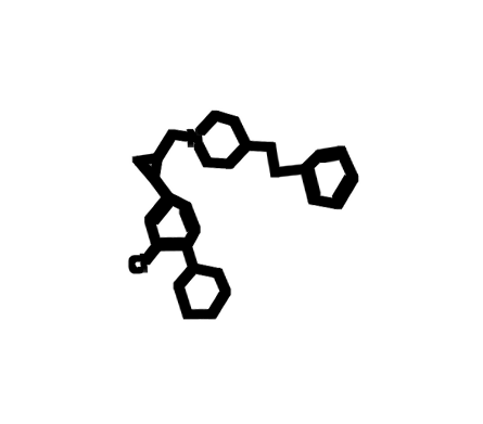 Clc1cc(C2CC2CN2CCC(CCc3ccccc3)CC2)ccc1C1CCCCC1